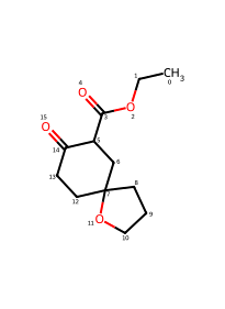 CCOC(=O)C1CC2(CCCO2)CCC1=O